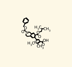 Cc1c(C(=O)O)cc(-c2cc3c(cc2C(=O)OCC(C)C)CN(C(=O)OCc2ccccc2)CC3)n1C